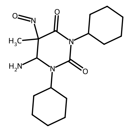 CC1(N=O)C(=O)N(C2CCCCC2)C(=O)N(C2CCCCC2)C1N